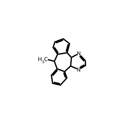 CC1c2ccccc2C2N=CC=NC2c2ccccc21